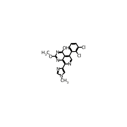 COc1nc(O)c2c(-c3cccc(Cl)c3Cl)cnc(-c3cn(C)cn3)c2n1